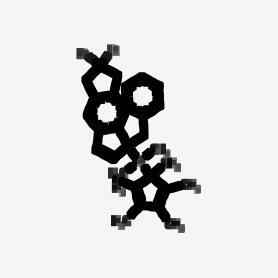 CCC1(CC)Cc2cc3c(cc2C1)[C](Cc1ccccc1)([Hf]([CH3])([CH3])[C]1(C)C(C)=C(C)C(C)=C1C)C=C3